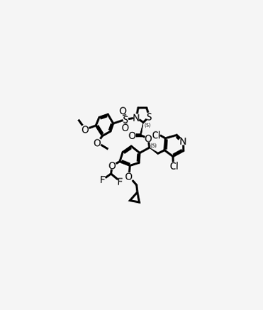 COc1ccc(S(=O)(=O)N2CCS[C@H]2C(=O)O[C@@H](Cc2c(Cl)cncc2Cl)c2ccc(OC(F)F)c(OCC3CC3)c2)cc1OC